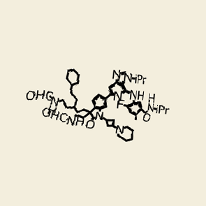 Cc1cc(F)c(Nc2nc(-c3ccc4c(c3)N(C3CC(N5CCCCC5)C3)C(=O)C4(CCNC=O)CCC(CCNC=O)CCC3CCCCC3)cc3ncn(C(C)C)c23)cc1C(=O)NC(C)C